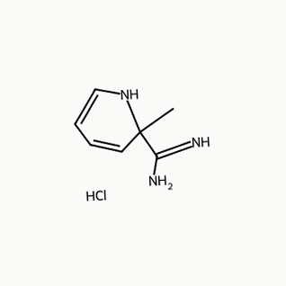 CC1(C(=N)N)C=CC=CN1.Cl